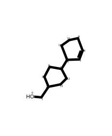 OCC1CCC(C2C=CCCC2)CC1